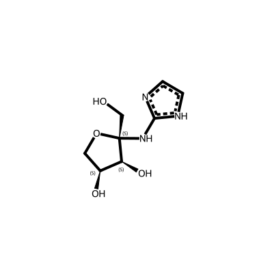 OC[C@]1(Nc2ncc[nH]2)OC[C@H](O)[C@@H]1O